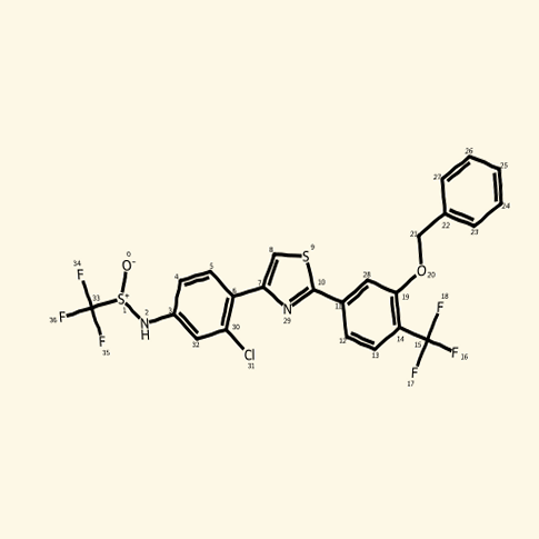 [O-][S+](Nc1ccc(-c2csc(-c3ccc(C(F)(F)F)c(OCc4ccccc4)c3)n2)c(Cl)c1)C(F)(F)F